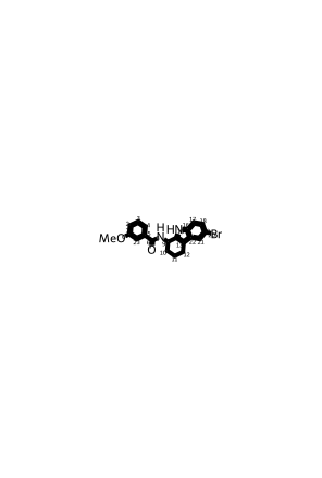 COc1cccc(C(=O)NC2CCCc3c2[nH]c2ccc(Br)cc32)c1